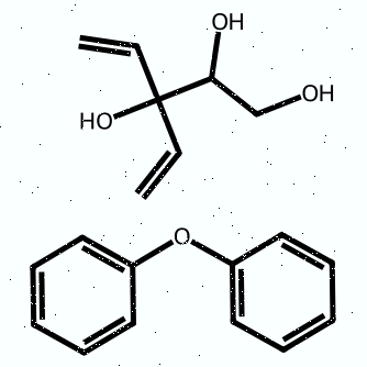 C=CC(O)(C=C)C(O)CO.c1ccc(Oc2ccccc2)cc1